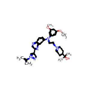 COc1cc(OC)cc(N(CCN2CCC(C(C)(C)O)CC2)c2ccc3ncc(-c4cnn(C(C)C)c4)nc3c2)c1